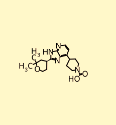 CC1(C)C[C@@H](c2nc3c(C4CCN(C(=O)O)CC4)ccnc3[nH]2)CCO1